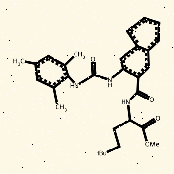 COC(=O)C(CCC(C)(C)C)NC(=O)c1cc2ccccc2cc1NC(=O)Nc1c(C)cc(C)cc1C